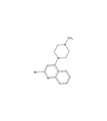 CN1CCN(c2cc(Br)nc3ccccc23)CC1